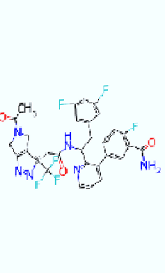 CC(=O)N1CC2=C(C1)[C@@](CC(=O)NC(Cc1cc(F)cc(F)c1)c1ncccc1-c1ccc(F)c(C(N)=O)c1)(C(F)(F)F)N=N2